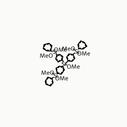 CO[Si](OC)(c1ccccc1)c1ccc([Si](OC)(c2ccc([Si](OC)(OC)c3ccccc3)cc2)c2ccc([Si](OC)(OC)c3ccccc3)cc2)cc1